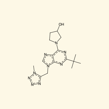 Cn1nnnc1Cn1cnc2c(N3CCC(O)C3)nc(C(C)(C)C)nc21